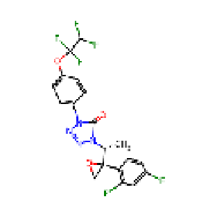 C[C@@H](n1nnn(-c2ccc(OC(F)(F)C(F)F)cc2)c1=O)[C@]1(c2ccc(F)cc2F)CO1